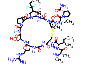 CCC(CN1C(=O)NC(=O)NC(C(=O)N[C@@H](CC)C(=O)N2CCC[C@H]2C(N)=O)C(C)(C)SSC[C@H](NC(=O)[C@@H](NC(=O)[C@H](C)NC)[C@@H](C)CC)C(=O)NC(=O)N[C@@H](CCCNC(=N)N)C(=O)N[C@@H](CO)C(=O)NC(=O)N2CCC[C@H]2C1=O)C(F)(F)CC